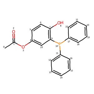 CC(=O)Oc1ccc(O)c(P(c2ccccc2)c2ccccc2)c1